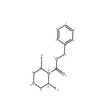 O=C(OCc1ccccc1)[N+]1C(F)COCC1F